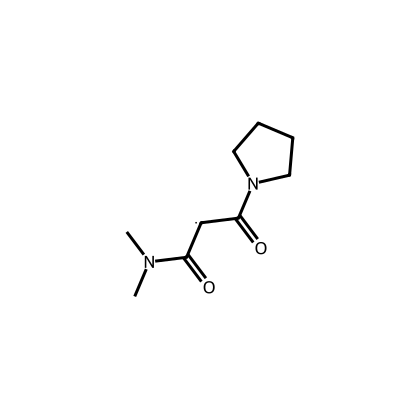 CN(C)C(=O)[CH]C(=O)N1CCCC1